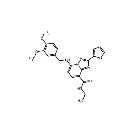 CCNC(=O)c1cnc(NCc2ccc(OC)c(OC)c2)n2nc(-c3ccco3)nc12